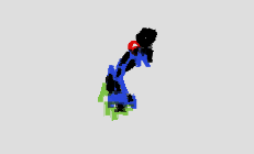 O=C(N1CCN(c2ncc(F)c(-n3cnc(C(F)(F)F)n3)n2)CC1)N1N=CC[C@H]1c1ccccc1